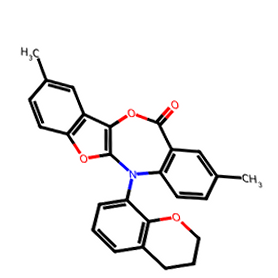 Cc1ccc2c(c1)C(=O)Oc1c(oc3ccc(C)cc13)N2c1cccc2c1OCCC2